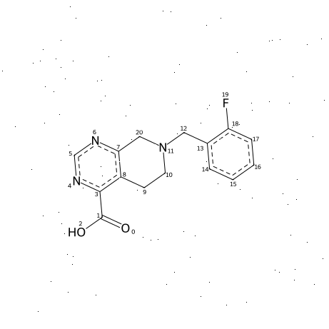 O=C(O)c1ncnc2c1CCN(Cc1ccccc1F)C2